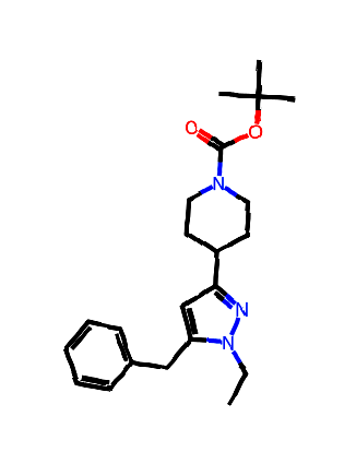 CCn1nc(C2CCN(C(=O)OC(C)(C)C)CC2)cc1Cc1ccccc1